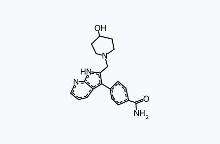 NC(=O)c1ccc(-c2c(CN3CCC(O)CC3)[nH]c3ncccc23)cc1